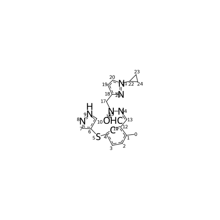 Cc1ccc(Sc2cn[nH]c2)cc1/C=N\N(C=O)Cc1ccn(C2CC2)n1